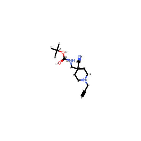 C#CCN1CCC(C#N)(CNC(=O)OC(C)(C)C)CC1